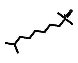 CC(C)CCCCCC[SH](C)(C)=O